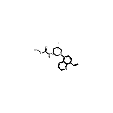 C=Cc1ccc(N2C[C@@H](C)C[C@@H](NC(=O)OC(C)(C)C)C2)c2cccnc12